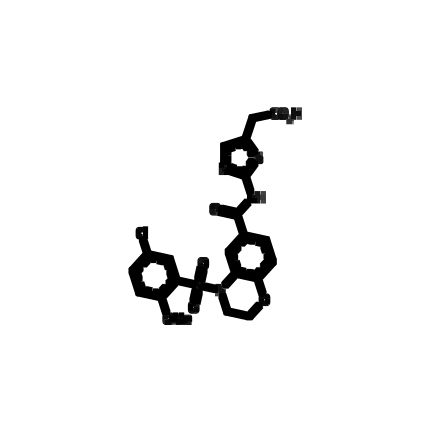 COc1ccc(Cl)cc1S(=O)(=O)N1CCOc2ccc(C(=O)Nc3ncc(CC(=O)O)s3)cc21